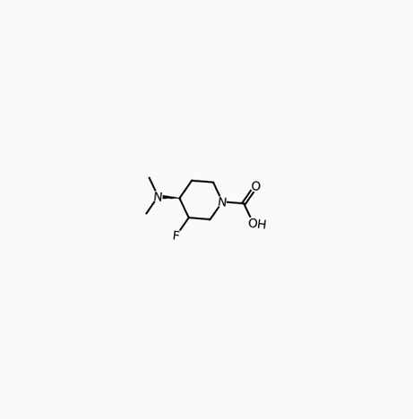 CN(C)[C@H]1CCN(C(=O)O)CC1F